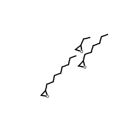 CCC1CO1.CCCCCCC1CO1.CCCCCCCCC1CO1